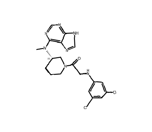 CN(c1ncnc2[nH]cnc12)[C@H]1CCCN(C(=O)CNc2cc(Cl)cc(Cl)c2)C1